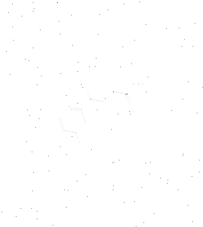 Cc1cccc(C(Cl)CCC(=O)O)c1